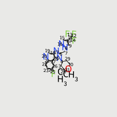 CC1(C)CC(n2c(Cn3cc(C(F)(F)F)cn3)nc3cnc4ccc(F)cc4c32)CCO1